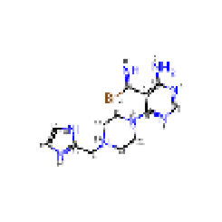 N=C(Br)c1c(N)ncnc1N1CCN(Cc2ncc[nH]2)CC1